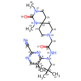 Cc1cnc(C#N)nc1N(CC(C)(C)C)NC(=O)CN1CCC2(CC1)CCN(C)C(=O)N2C